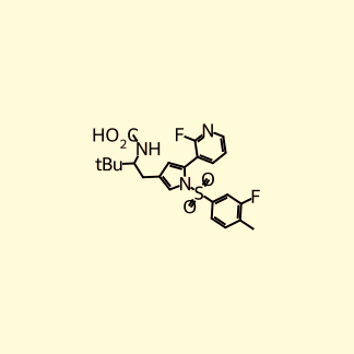 Cc1ccc(S(=O)(=O)n2cc(CC(NC(=O)O)C(C)(C)C)cc2-c2cccnc2F)cc1F